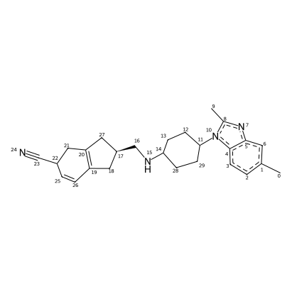 Cc1ccc2c(c1)nc(C)n2C1CCC(NC[C@H]2CC3=C(CC(C#N)C=C3)C2)CC1